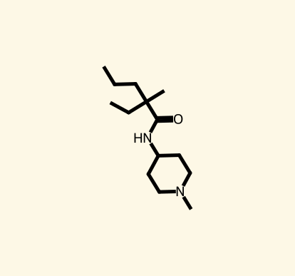 CCCC(C)(CC)C(=O)NC1CCN(C)CC1